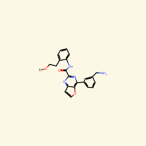 CCOCCc1ccccc1NC(=O)c1nc(-c2cccc(CN)c2)c2occc2n1